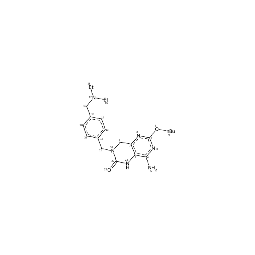 CCCCOc1nc(N)c2c(n1)CN(Cc1ccc(CN(CC)CC)cc1)C(=O)N2